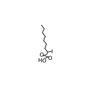 CCCCCCCC(I)S(=O)(=O)O